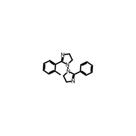 Cc1ccccc1C1=NCCN1N1CCN=C1c1ccccc1